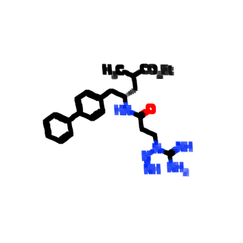 CCOC(=O)C(C)C[C@@H](Cc1ccc(-c2ccccc2)cc1)NC(=O)CCN(N=N)C(=N)N